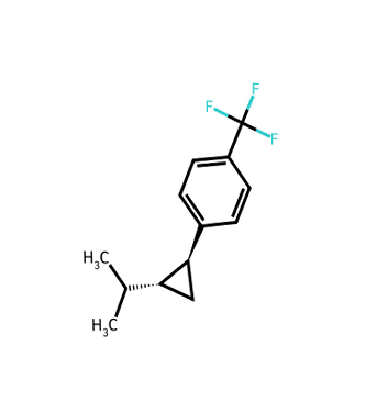 CC(C)[C@H]1C[C@@H]1c1ccc(C(F)(F)F)cc1